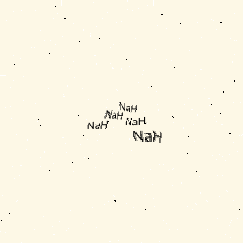 [NaH].[NaH].[NaH].[NaH].[NaH]